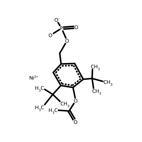 CC(=O)Oc1c(C(C)(C)C)cc(COP(=O)([O-])[O-])cc1C(C)(C)C.[Ni+2]